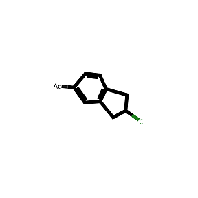 CC(=O)c1ccc2c(c1)CC(Cl)C2